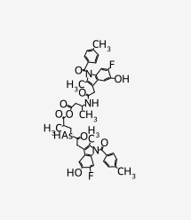 Cc1ccc(C(=O)n2c(C)c(CC(=O)NC(C)CC(=O)OC(=O)C(C)C[AsH]C(=O)Cc3c(C)n(C(=O)c4ccc(C)cc4)c4cc(F)c(O)cc34)c3cc(O)c(F)cc32)cc1